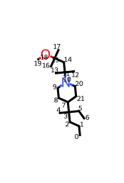 CCCC(C)(CC)C1CCN(C(C)(C)CC(C)(C)OC)CC1